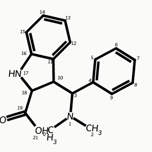 CN(C)C(c1ccccc1)C1c2ccccc2NC1C(=O)O